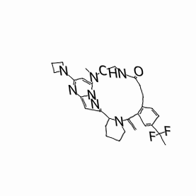 C=C1c2cc(C(C)(F)F)ccc2CCC(=O)NCCN(C)c2cc(N3CCC3)nc3cc(nn23)C2CCCCN12